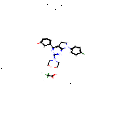 O=C(O)C(F)(F)F.Oc1cccc(-c2nc(N3CCOCC3)nc3c2CCN3c2ccc(Cl)cc2)c1